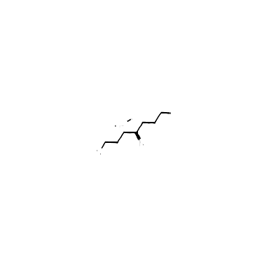 N=C(CCCN)CCCO.O=S(=O)([O-])O.[H+]